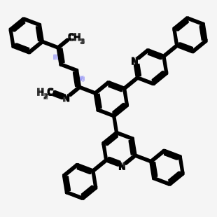 C=N/C(=C\C=C(/C)c1ccccc1)c1cc(-c2cc(-c3ccccc3)nc(-c3ccccc3)c2)cc(-c2ccc(-c3ccccc3)cn2)c1